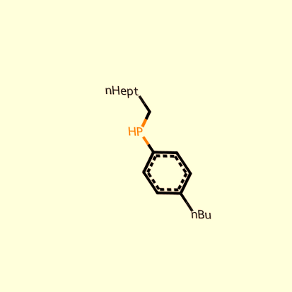 CCCCCCCCPc1ccc(CCCC)cc1